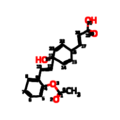 CC(=O)Oc1ccccc1/C=C/C1(O)C=CC(/C=C/C(=O)O)C=C1